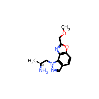 COCc1nc2c(ccc3cnn(C[C@H](C)N)c32)o1